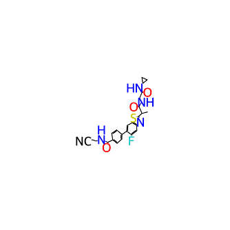 CC(C(=O)NCC(=O)NC1CC1)c1nc2cc(F)c(-c3ccc(C(=O)NCCC#N)cc3)cc2s1